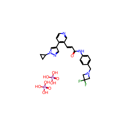 O=C(C=Cc1cnccc1-c1cnn(C2CC2)c1)Nc1ccc(CN2CC(F)(F)C2)cc1.O=P(O)(O)O.O=P(O)(O)O